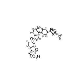 O=C(O)C[C@@H]1COc2cc(O[C@@H]3CCc4c3ccc(C(F)(F)F)c4-c3ccc(-c4noc(C5CC5)n4)cc3)ccc21